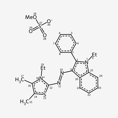 CCn1c(-c2ccccc2)c(N=Nc2sc(C)c(C)[n+]2CC)c2ccccc21.COS(=O)(=O)[O-]